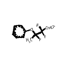 CC(F)(Oc1ccccc1)C(F)(F)[C]=O